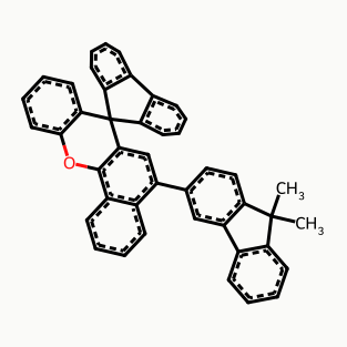 CC1(C)c2ccccc2-c2cc(-c3cc4c(c5ccccc35)Oc3ccccc3C43c4ccccc4-c4ccccc43)ccc21